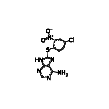 Nc1ncnc2[nH]c(Sc3ccc(Cl)cc3[N+](=O)[O-])nc12